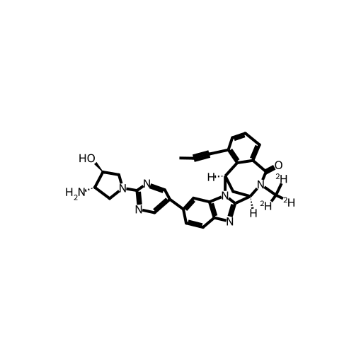 [2H]C([2H])([2H])N1C(=O)c2cccc(C#CC)c2[C@H]2C[C@@H]1c1nc3ccc(-c4cnc(N5C[C@H](N)[C@@H](O)C5)nc4)cc3n12